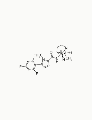 C[C@H]1[C@H](NC(=O)c2ccc(-c3c(F)cc(F)cc3F)n2C)C2CCN1CC2